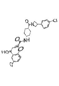 O=C(N[C@H]1CC[C@H](C(=O)N2CC(c3ccc(Cl)cc3)C2)CC1)[C@@H]1C[C@@H](O)c2cc(Cl)ccc2O1